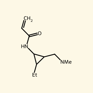 C=CC(=O)NC1C(CC)C1CNC